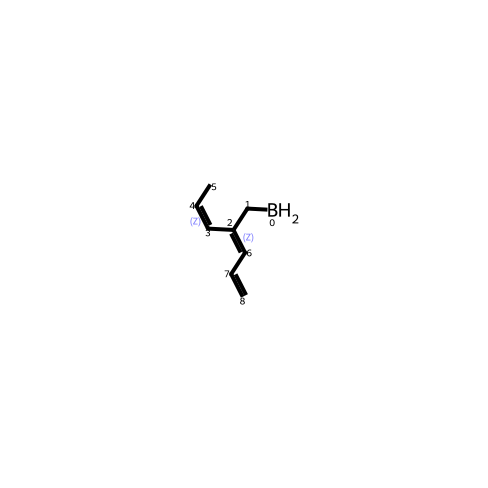 BCC(/C=C\C)=C/C=C